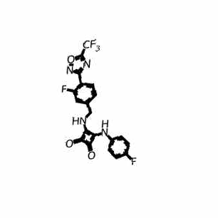 O=c1c(NCc2ccc(-c3noc(C(F)(F)F)n3)c(F)c2)c(Nc2ccc(F)cc2)c1=O